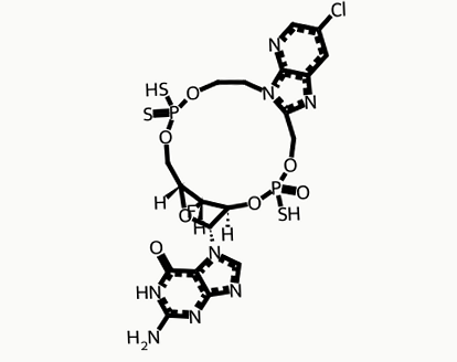 Nc1nc2ncn([C@@H]3O[C@@H]4COP(=S)(S)OCCn5c(nc6cc(Cl)cnc65)COP(=O)(S)O[C@@H]3[C@@H]4F)c2c(=O)[nH]1